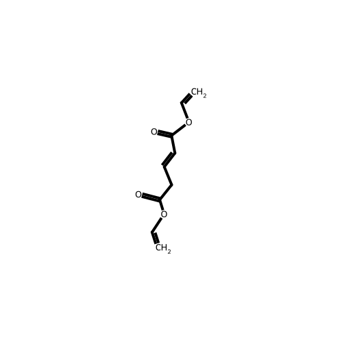 C=COC(=O)/C=C/CC(=O)OC=C